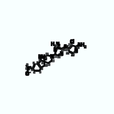 C[S+]([O-])c1ccc2c(c1)[C@@H](N)C1(CCN(c3cnc(Sc4ccnc(N)c4Cl)c(N)n3)CC1)C2